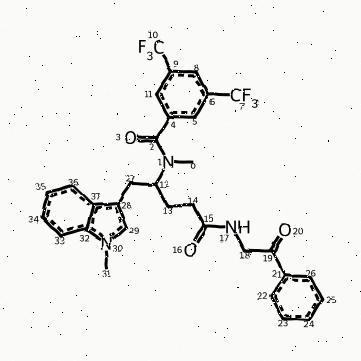 CN(C(=O)c1cc(C(F)(F)F)cc(C(F)(F)F)c1)C(CCC(=O)NCC(=O)c1ccccc1)Cc1cn(C)c2ccccc12